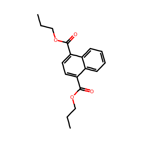 CCCOC(=O)c1ccc(C(=O)OCCC)c2ccccc12